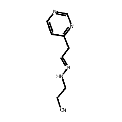 N#CCCN/N=C/Cc1ccncn1